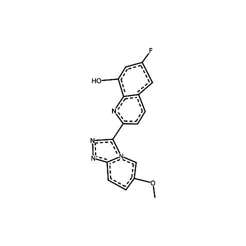 COc1ccc2nnc(-c3ccc4cc(F)cc(O)c4n3)n2c1